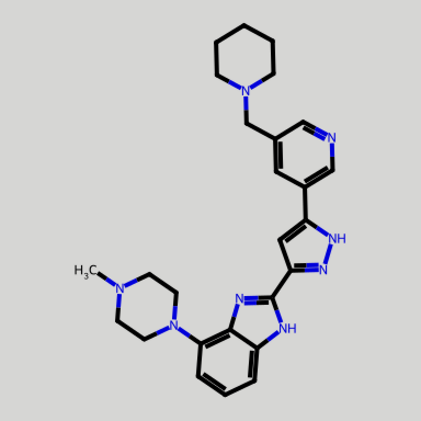 CN1CCN(c2cccc3[nH]c(-c4cc(-c5cncc(CN6CCCCC6)c5)[nH]n4)nc23)CC1